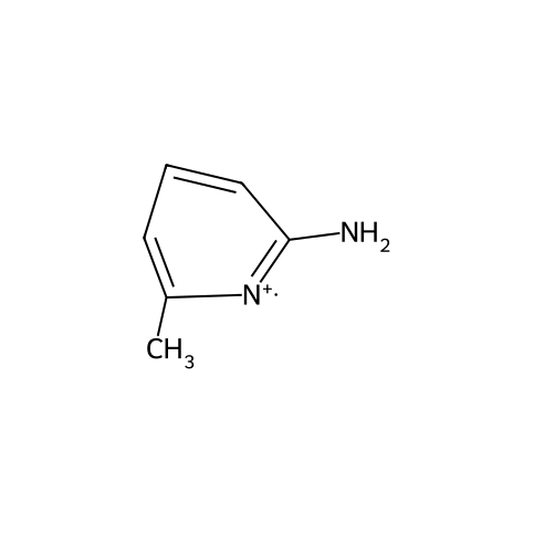 CC1=CC=CC(N)=[N+]1